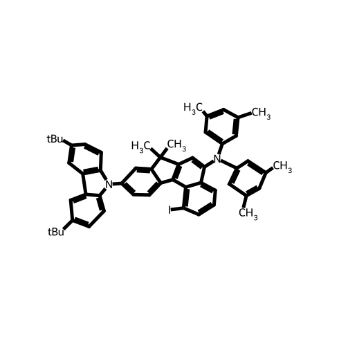 Cc1cc(C)cc(N(c2cc(C)cc(C)c2)c2cc3c(c4c(I)cccc24)-c2ccc(-n4c5ccc(C(C)(C)C)cc5c5cc(C(C)(C)C)ccc54)cc2C3(C)C)c1